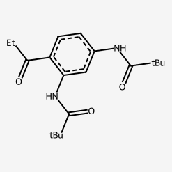 CCC(=O)c1ccc(NC(=O)C(C)(C)C)cc1NC(=O)C(C)(C)C